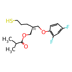 CC(C)C(=O)OC[C@@H](CCCS)COc1ccc(F)cc1F